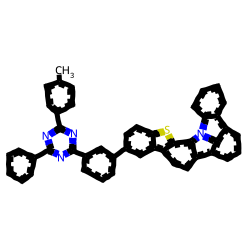 Cc1ccc(-c2nc(-c3ccccc3)nc(-c3cccc(-c4ccc5sc6c(ccc7c8cccc9c%10ccccc%10n(c98)c76)c5c4)c3)n2)cc1